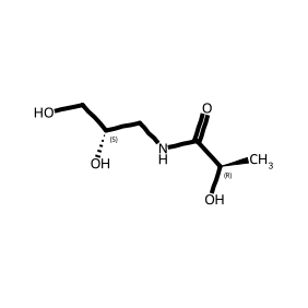 C[C@@H](O)C(=O)NC[C@H](O)CO